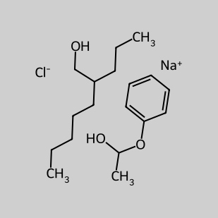 CC(O)Oc1ccccc1.CCCCCC(CO)CCC.[Cl-].[Na+]